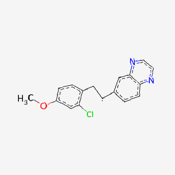 COc1ccc(C[CH]c2ccc3nccnc3c2)c(Cl)c1